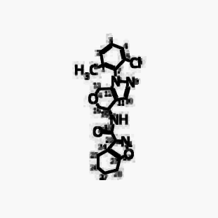 Cc1cccc(Cl)c1-n1ncc2c1COC[C@@H]2NC(=O)c1noc2c1CCCC2